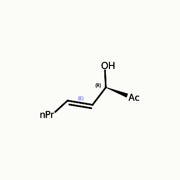 CCC/C=C/[C@@H](O)C(C)=O